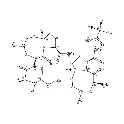 COC(=O)[C@@H]1CC[C@@H]2CCN(C(C)=O)C[C@H](N)C(=O)N21.COC(=O)[C@@H]1CC[C@@H]2CCN(C(C)=O)C[C@H](NC(=O)[C@H](C)N(C)C(=O)OC(C)(C)C)C(=O)N21.O=C(O)C(F)(F)F